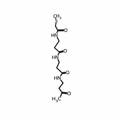 CSCC(=O)NCCC(=O)NCCC(=O)NCCC(C)=O